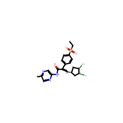 CCS(=O)(=O)c1ccc(/C(=C\[C@H]2C[C@@H](F)[C@@H](F)C2)C(=O)Nc2cnc(C)cn2)cc1